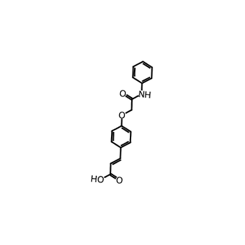 O=C(O)/C=C/c1ccc(OCC(=O)Nc2ccccc2)cc1